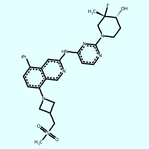 CC(C)c1ccc(N2CC(CS(C)(=O)=O)C2)c2cnc(Nc3ccnc(N4CC[C@@H](O)[C@@](C)(F)C4)n3)cc12